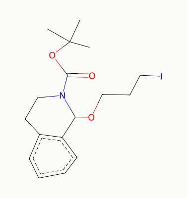 CC(C)(C)OC(=O)N1CCc2ccccc2C1OCCCI